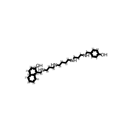 Oc1ccc(CNCCCNCCCCNCCCNCc2c(O)ccc3ccccc23)cc1